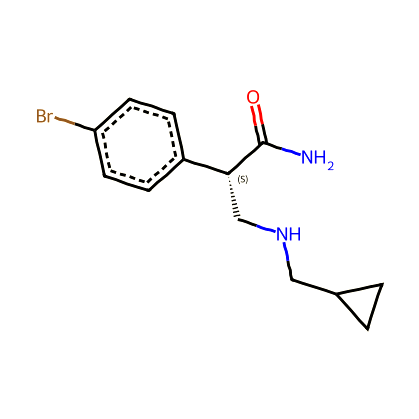 NC(=O)[C@H](CNCC1CC1)c1ccc(Br)cc1